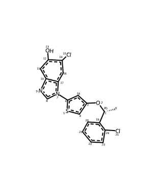 C[C@@H](Oc1csc(-n2cnc3cc(O)c(Cl)cc32)c1)c1ccccc1Cl